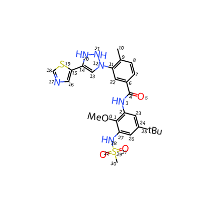 COc1c(NC(=O)c2ccc(C)c(N3C=C(c4cncs4)NN3)c2)cc(C(C)(C)C)cc1NS(C)(=O)=O